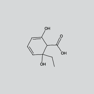 CCC1(O)C=CC=C(O)C1C(=O)O